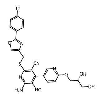 [C-]#[N+]c1c(N)nc(SCc2coc(-c3ccc(Cl)cc3)n2)c(C#N)c1-c1ccc(OC[C@H](O)CO)nc1